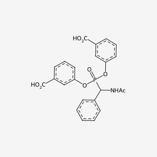 CC(=O)NC(c1ccccc1)P(=O)(Oc1cccc(C(=O)O)c1)Oc1cccc(C(=O)O)c1